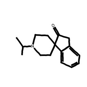 CC(C)N1CCC2(CC1)C(=O)Cc1ccccc12